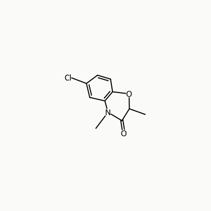 CC1Oc2ccc(Cl)cc2N(C)C1=O